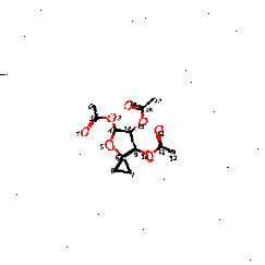 CC(=O)OC1OC2(CC2)C(OC(C)=O)C1OC(C)=O